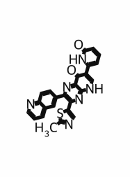 Cc1ncc(-c2nc3[nH]cc(-c4cccc(=O)[nH]4)c(=O)c3nc2-c2ccc3ncccc3c2)s1